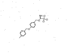 Cc1ccc(COc2ccc(COC(=N)C(Cl)(Cl)Cl)cc2)cc1